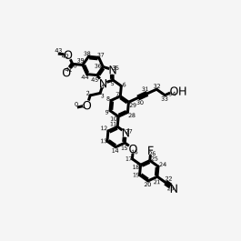 COCCn1c(Cc2ccc(-c3cccc(OCc4ccc(C#N)cc4F)n3)cc2C#CCCO)nc2ccc(C(=O)OC)cc21